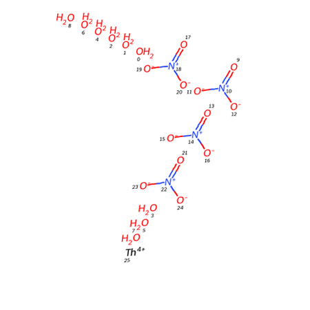 O.O.O.O.O.O.O.O.O.O=[N+]([O-])[O-].O=[N+]([O-])[O-].O=[N+]([O-])[O-].O=[N+]([O-])[O-].[Th+4]